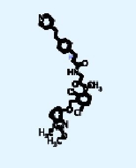 COc1nc2c(OCc3c(Cl)ccc(N(C)C(=O)CNC(=O)/C=C/c4ccc(CCc5ccncc5)cc4)c3Cl)cccc2n1C